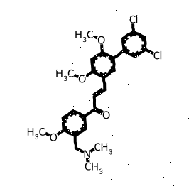 COc1cc(OC)c(-c2cc(Cl)cc(Cl)c2)cc1C=CC(=O)c1ccc(OC)c(CN(C)C)c1